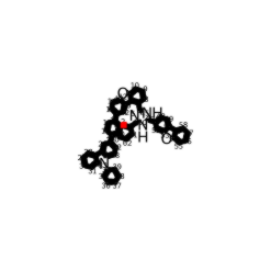 c1ccc(C2=NC(c3cccc4oc5ccc(-c6ccc(-c7ccc8c(c7)c7ccccc7n8-c7ccccc7)cc6)cc5c34)NC(c3ccc4c(c3)oc3ccccc34)N2)cc1